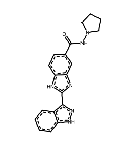 O=C(NN1CCCC1)c1ccc2[nH]c(-c3n[nH]c4ccccc34)nc2c1